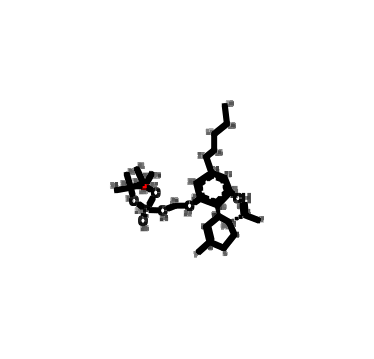 C=C(C)[C@@H]1CCC(C)=C[C@H]1c1c(O)cc(CCCCC)cc1OCOP(=O)(OC(C)(C)C)OC(C)(C)C